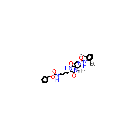 CCCN1C(=O)[C@H](CCCCNC(=O)OCc2ccccc2)NC(=O)C12CCN(C(=O)Nc1c(CC)cccc1C(C)C)CC2